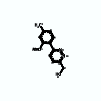 COc1cc(C)ccc1-c1ccc(CO)nn1